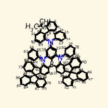 C[Si]1(C)c2ccccc2-c2c(N(c3ccccc3)c3cc4c5c(c3)N(c3ccccc3)c3c(ccc6c3-c3ccccc3C63c6ccccc6-c6ccccc63)B5c3ccc5c(c3N4c3ccccc3)-c3ccccc3C53c4ccccc4-c4ccccc43)cccc21